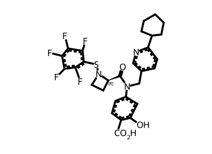 O=C(O)c1ccc(N(Cc2ccc(C3CCCCC3)nc2)C(=O)[C@H]2CCN2Sc2c(F)c(F)c(F)c(F)c2F)cc1O